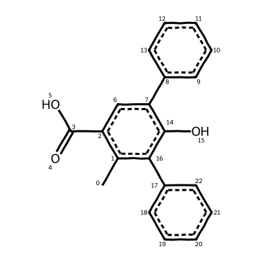 Cc1c(C(=O)O)cc(-c2ccccc2)c(O)c1-c1ccccc1